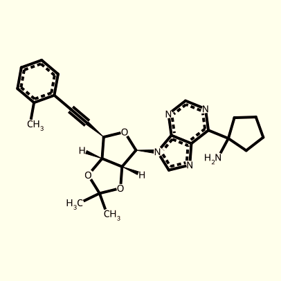 Cc1ccccc1C#C[C@H]1O[C@@H](n2cnc3c(C4(N)CCCC4)ncnc32)[C@@H]2OC(C)(C)O[C@@H]21